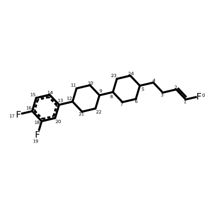 FC=CCCC1CCC(C2CCC(c3ccc(F)c(F)c3)CC2)CC1